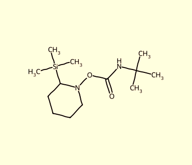 CC(C)(C)NC(=O)ON1CCCCC1[Si](C)(C)C